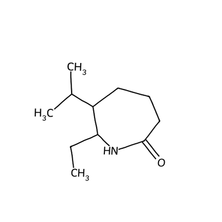 CCC1NC(=O)CCCC1C(C)C